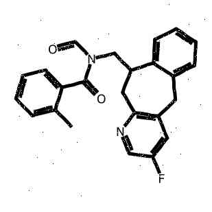 Cc1ccccc1C(=O)N(C=O)CC1Cc2ncc(F)cc2Cc2ccccc21